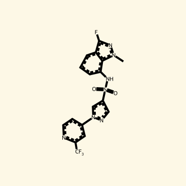 Cn1nc(F)c2cccc(NS(=O)(=O)c3cnn(-c4ccnc(C(F)(F)F)c4)c3)c21